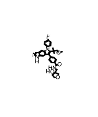 COCC(C)(C)c1c(-c2ccc(C(=O)NCC3(O)CCOC3)cc2)c2cc3[nH]ncc3cc2n1-c1ccc(F)cc1